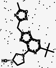 Cc1nc(Cn2nc3nc(C(C)(C)C)nc(N4CC[C@H](O)C4)c3n2)no1